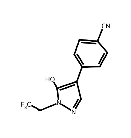 N#Cc1ccc(-c2cnn([CH]C(F)(F)F)c2O)cc1